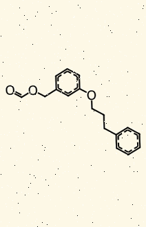 O=COCc1cccc(OCCCc2ccccc2)c1